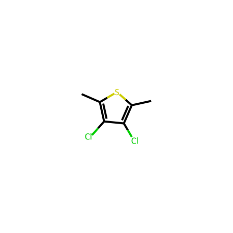 Cc1sc(C)c(Cl)c1Cl